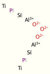 [Al+3].[Al+3].[O-2].[O-2].[O-2].[P].[P].[Si].[Si].[Ti].[Ti]